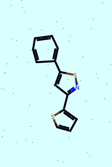 [c]1c(-c2cccs2)nsc1-c1ccccc1